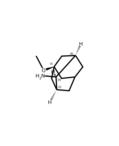 CO[C@]12CC3C[C@H](C1)[C@H](N)[C@@H](C3)C2